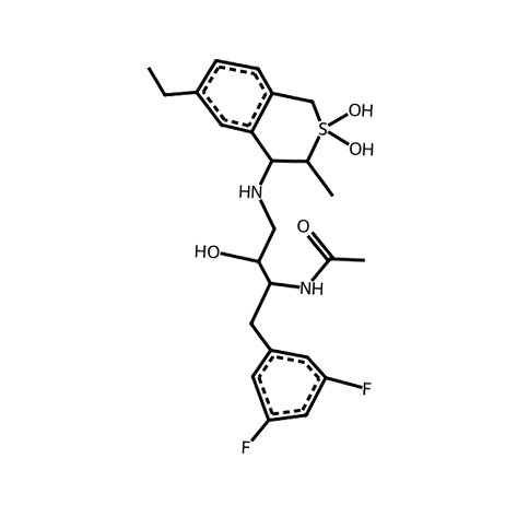 CCc1ccc2c(c1)C(NCC(O)C(Cc1cc(F)cc(F)c1)NC(C)=O)C(C)S(O)(O)C2